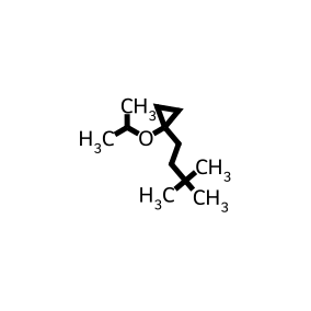 CC(C)OC1(CCC(C)(C)C)CC1